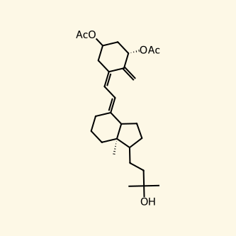 C=C1/C(=C\C=C2/CCC[C@]3(C)C(CCC(C)(C)O)CCC23)CC(OC(C)=O)C[C@@H]1OC(C)=O